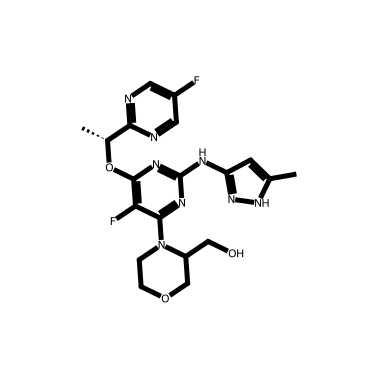 Cc1cc(Nc2nc(O[C@H](C)c3ncc(F)cn3)c(F)c(N3CCOCC3CO)n2)n[nH]1